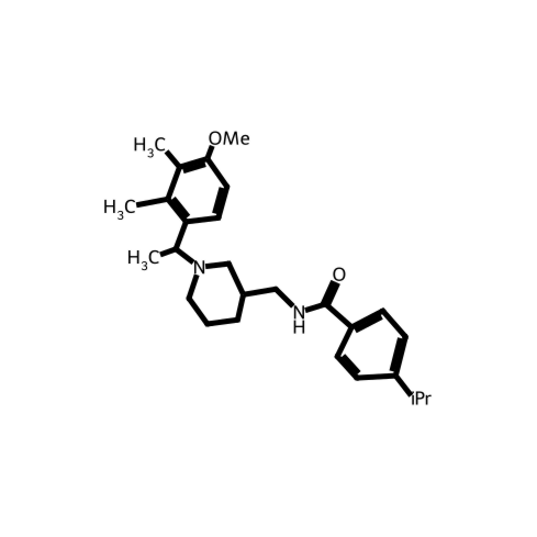 COc1ccc(C(C)N2CCCC(CNC(=O)c3ccc(C(C)C)cc3)C2)c(C)c1C